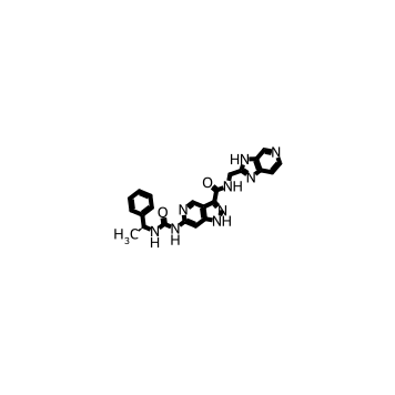 C[C@@H](NC(=O)Nc1cc2[nH]nc(C(=O)NCc3nc4ccncc4[nH]3)c2cn1)c1ccccc1